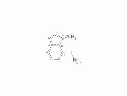 Cn1ccc2cccc(CN)c21